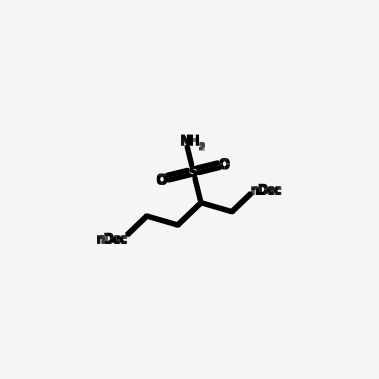 CCCCCCCCCCCCC(CCCCCCCCCCC)S(N)(=O)=O